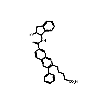 O=C(O)CCCCc1nc2cc(C(=O)NC3c4ccccc4CC3O)ccc2nc1-c1ccccc1